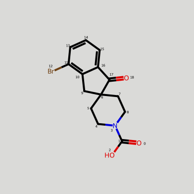 O=C(O)N1CCC2(CC1)Cc1c(Br)cccc1C2=O